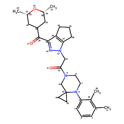 Cc1cccc(N2CCN(C(=O)Cn3nc(C(=O)C4C[C@@H](C)O[C@@H](C)C4)c4c3CCC4)CC23CC3)c1C